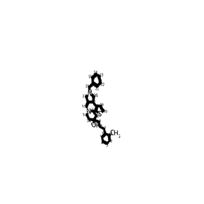 Cc1ccccc1CCCC1(O)CCN(CC2CN(Cc3ccccc3)CC2c2ccsc2)CC1